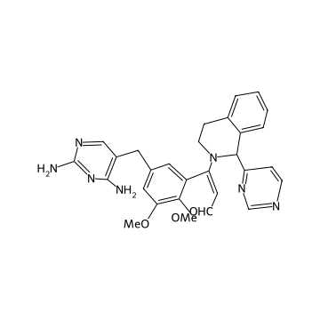 COc1cc(Cc2cnc(N)nc2N)cc(C(=CC=O)N2CCc3ccccc3C2c2ccncn2)c1OC